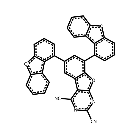 N#Cc1nc(C#N)c2c(n1)oc1c(-c3cccc4oc5ccccc5c34)cc(-c3cccc4oc5ccccc5c34)cc12